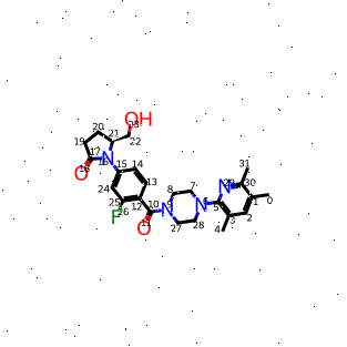 Cc1cc(C)c(N2CCN(C(=O)c3ccc(N4C(=O)CC[C@H]4CO)cc3F)CC2)nc1C